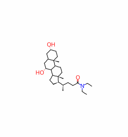 CCN(CC)C(=O)CC[C@@H](C)[C@H]1CCC2C3C(CC[C@@]21C)[C@@]1(C)CC[C@@H](O)CC1C[C@H]3O